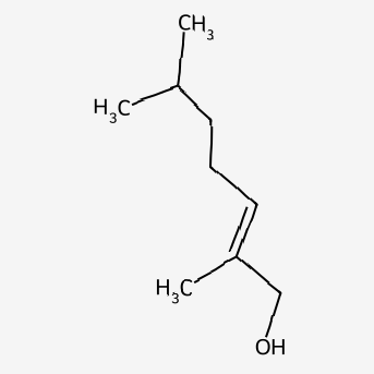 C/C(=C\CCC(C)C)CO